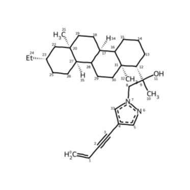 C=CC#Cc1cnn(CC(C)(O)[C@H]2CCCC3[C@@H]4CC[C@]5(C)C[C@@H](CC)CC[C@@H]5C4CC[C@@]32C)c1